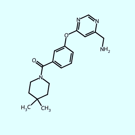 CC1(C)CCN(C(=O)c2cccc(Oc3cc(CN)ncn3)c2)CC1